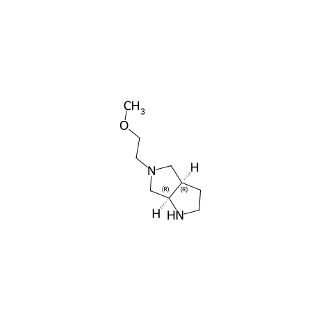 COCCN1C[C@H]2CCN[C@H]2C1